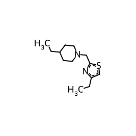 CCc1csc(CN2CCC(CC)CC2)n1